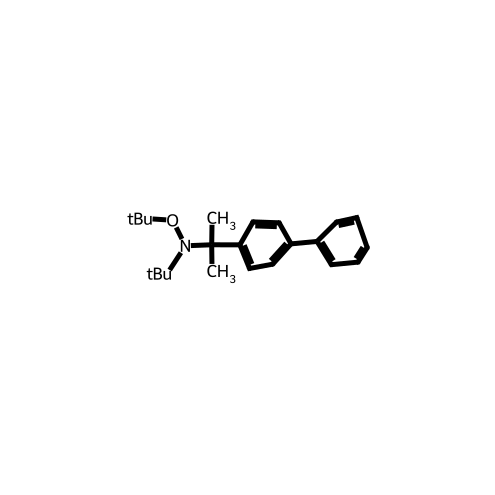 CC(C)(C)ON(C(C)(C)C)C(C)(C)c1ccc(-c2ccccc2)cc1